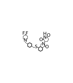 O=C1CCC(N2Cc3c(SCc4ccc(CN5CCC(F)(F)CC5)cc4)cccc3C2=O)C(=O)N1